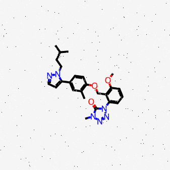 COc1cccc(-n2nnn(C)c2=O)c1COc1ccc(-c2ccnn2CCC(C)C)cc1C